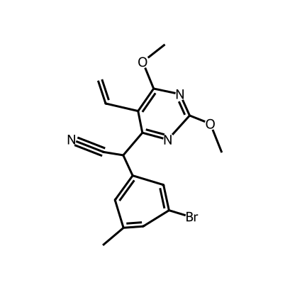 C=Cc1c(OC)nc(OC)nc1C(C#N)c1cc(C)cc(Br)c1